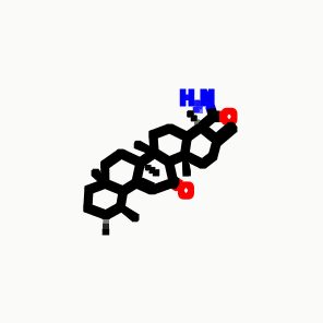 C=C1CC[C@@]2(C)C(CC[C@]3(C)C2C(=O)C=C2C4[C@@H](C)[C@H](C)CC[C@]4(C)CC[C@]23C)[C@@]1(C)C(N)=O